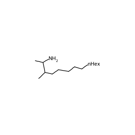 CCCCCCCCCCCC(C)C(C)N